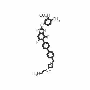 Cc1ccc(Oc2nc3c(F)c(-c4ccc(-c5ccc(CN6CC(NCCN)C6)cc5)cc4)c(F)cc3[nH]2)cc1C(=O)O